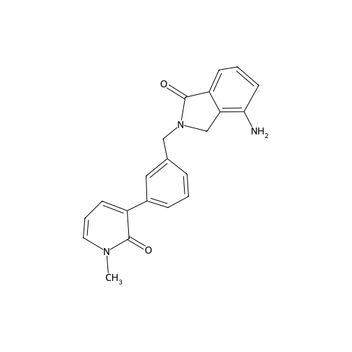 Cn1cccc(-c2cccc(CN3Cc4c(N)cccc4C3=O)c2)c1=O